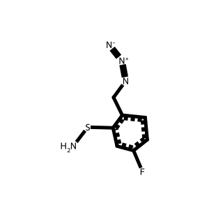 [N-]=[N+]=NCc1ccc(F)cc1SN